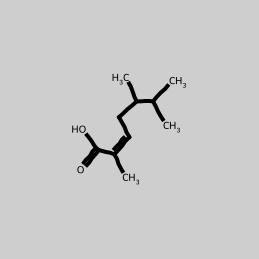 CC(=CCC(C)C(C)C)C(=O)O